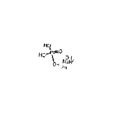 O.O=P(O)(O)O.[NaH].[Zn]